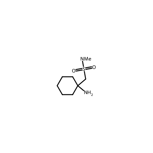 CNS(=O)(=O)CC1(N)CCCCC1